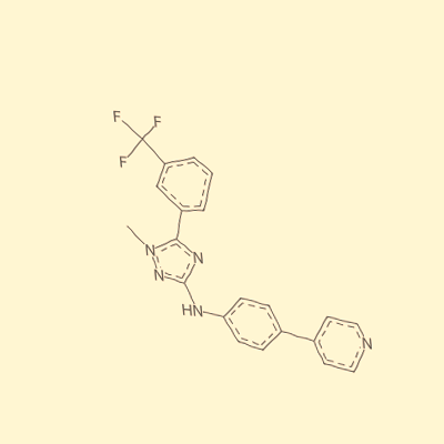 Cn1nc(Nc2ccc(-c3ccncc3)cc2)nc1-c1cccc(C(F)(F)F)c1